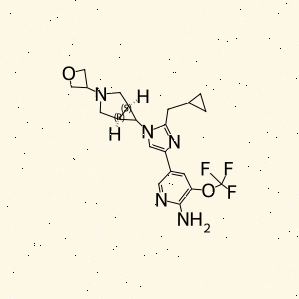 Nc1ncc(-c2cn(C3[C@H]4CN(C5COC5)C[C@@H]34)c(CC3CC3)n2)cc1OC(F)(F)F